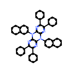 c1ccc(-c2nc3c(nc2-c2ccccc2)N(c2ccc4ccccc4c2)c2nc(-c4ccccc4)c(-c4ccccc4)nc2N3c2ccc3ccccc3c2)cc1